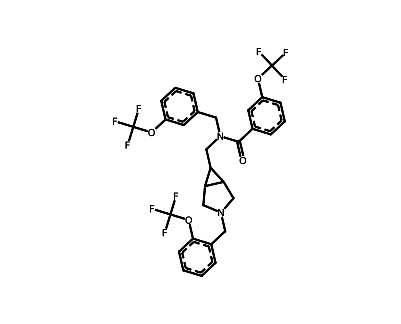 O=C(c1cccc(OC(F)(F)F)c1)N(Cc1cccc(OC(F)(F)F)c1)CC1C2CN(Cc3ccccc3OC(F)(F)F)CC21